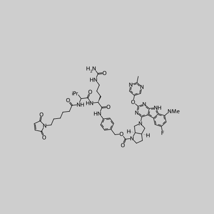 CNc1cc(F)cc2c1[nH]c1nc(Oc3cnc(C)nc3)nc(N3C[C@H]4CCN(C(=O)OCc5ccc(NC(=O)[C@H](CCCNC(N)=O)NC(=O)C(NC(=O)CCCCCN6C(=O)C=CC6=O)C(C)C)cc5)[C@H]4C3)c12